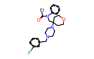 CCC(=O)N(CC1(N2CCN(Cc3cccc(F)c3)CC2)CCOCC1)c1ccccc1